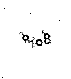 O=C(Nc1ccc(Cl)cc1)N[C@H]1CC[C@H](c2ccnc3ccc(F)cc32)CC1